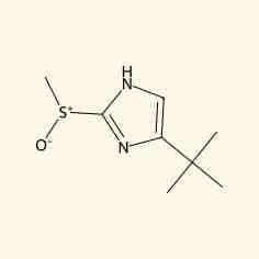 C[S+]([O-])c1nc(C(C)(C)C)c[nH]1